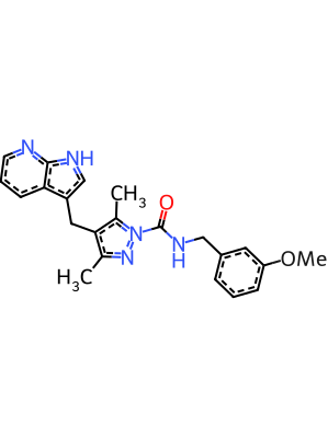 COc1cccc(CNC(=O)n2nc(C)c(Cc3c[nH]c4ncccc34)c2C)c1